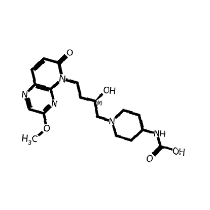 COc1cnc2ccc(=O)n(CC[C@@H](O)CN3CCC(NC(=O)O)CC3)c2n1